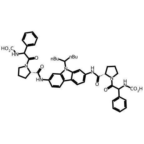 CCCCC(CCCC)n1c2cc(NC(=O)[C@@H]3CCCN3C(=O)C(NC(=O)O)c3ccccc3)ccc2c2ccc(NC(=O)[C@@H]3CCCN3C(=O)C(NC(=O)O)c3ccccc3)cc21